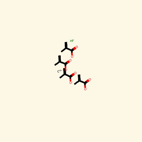 C=C(C)C(=O)[O-].C=C(C)C(=O)[O-].C=C(C)C(=O)[O-].C=C(C)C(=O)[O-].F.[C+4]